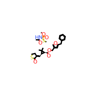 CC1(C)[C@H](/C=C2\CCSC2=O)[C@@H]1C(=O)OCc1coc(Cc2ccccc2)c1.COP(=O)(NC(C)=O)SC